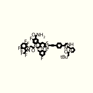 CC(C)(C)CC(=O)N1CCCC1c1nc(-c2ccc(C#Cc3nc4nc([C@H](Cc5cc(F)cc(F)c5)NC(=O)Cn5nc(C(F)F)c6c5C(F)(F)CCC6(F)F)c(-c5ccc(F)c(C(N)=O)c5)cc4s3)cc2)c[nH]1